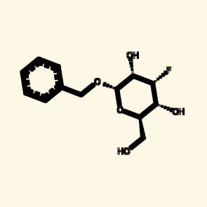 OC[C@H]1O[C@H](OCc2ccccc2)[C@H](O)[C@H](F)[C@@H]1O